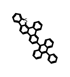 c1ccc(-c2c3ccccc3c(-c3ccc4c(c3)c3ccccc3c3c4ccc4c5ccccc5sc43)c3ccccc23)cc1